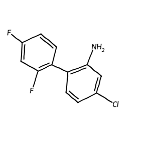 Nc1cc(Cl)ccc1-c1ccc(F)cc1F